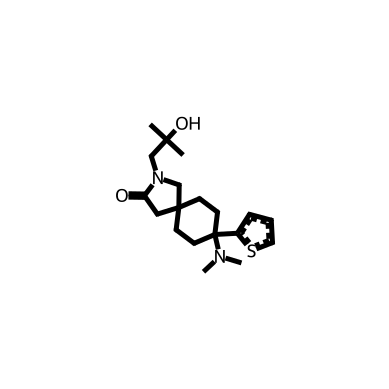 CN(C)C1(c2cccs2)CCC2(CC1)CC(=O)N(CC(C)(C)O)C2